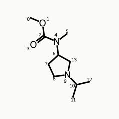 COC(=O)N(C)C1CCN(C(C)C)C1